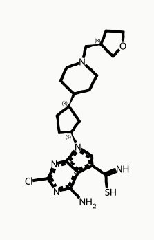 N=C(S)c1cn([C@H]2CC[C@@H](C3CCN(C[C@H]4CCOC4)CC3)C2)c2nc(Cl)nc(N)c12